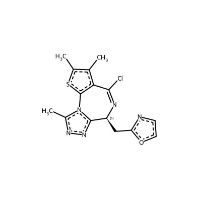 Cc1sc2c(c1C)C(Cl)=N[C@@H](Cc1ncco1)c1nnc(C)n1-2